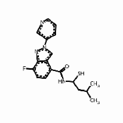 CC(C)CC(S)NC(=O)c1ccc(F)c2nn(-c3cccnc3)cc12